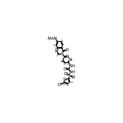 CNc1ccc2c(=O)n(-c3ccc(NC(=O)NS(=O)(=O)c4ccc(Cl)s4)nn3)cnc2c1